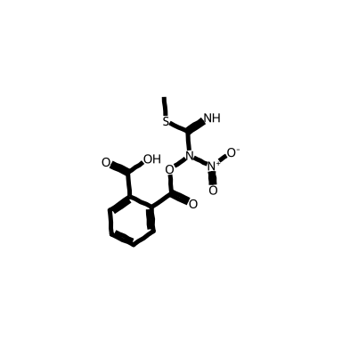 CSC(=N)N(OC(=O)c1ccccc1C(=O)O)[N+](=O)[O-]